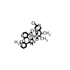 COc1ccnc(OC)c1-n1c(NS(=O)(=O)[C@H](C)[C@@H](C)c2cnc(Cl)cn2)nnc1-c1cccnc1